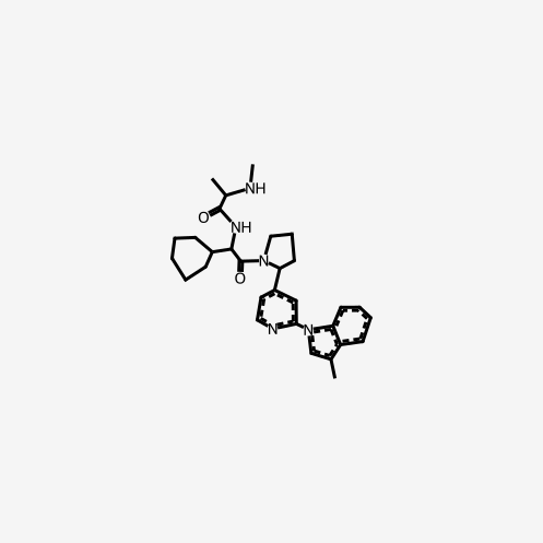 CNC(C)C(=O)NC(C(=O)N1CCCC1c1ccnc(-n2cc(C)c3ccccc32)c1)C1CCCCC1